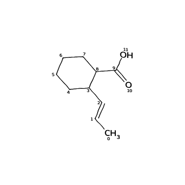 CC=CC1CCCCC1C(=O)O